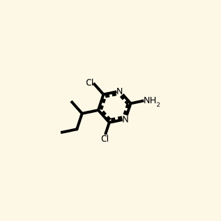 CCC(C)c1c(Cl)nc(N)nc1Cl